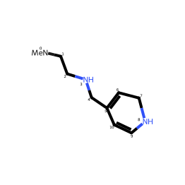 CNCCNCC1=CCNC=C1